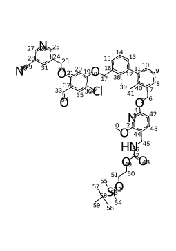 COc1nc(OCc2cccc(-c3cccc(COc4cc(OCc5cncc(C#N)c5)c(C=O)cc4Cl)c3C)c2C)ccc1CNC(=O)OCCO[Si](C)(C)C(C)(C)C